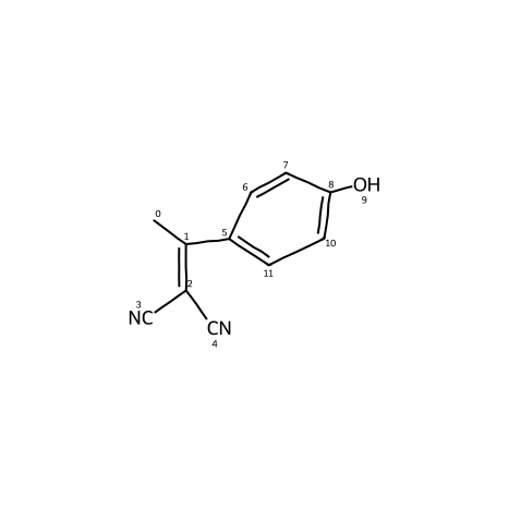 CC(=C(C#N)C#N)c1ccc(O)cc1